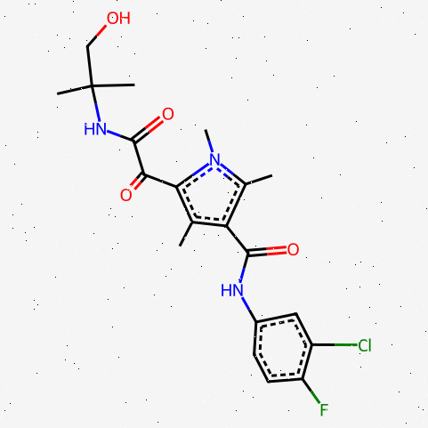 Cc1c(C(=O)Nc2ccc(F)c(Cl)c2)c(C)n(C)c1C(=O)C(=O)NC(C)(C)CO